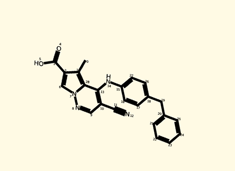 Cc1c(C(=O)O)cn2ncc(C#N)c(Nc3ccc(Cc4ccccc4)cc3)c12